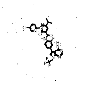 CC(C)c1cc(C(=O)Nc2ccc(-c3cn(CC(F)(F)F)c4ncnc(N)c34)cc2F)c(=O)n(-c2ccc(Cl)cn2)n1